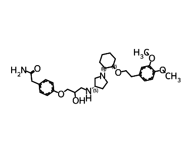 COc1ccc(CCO[C@@H]2CCCC[C@H]2N2CC[C@H](NCC(O)COc3ccc(CC(N)=O)cc3)C2)cc1OC